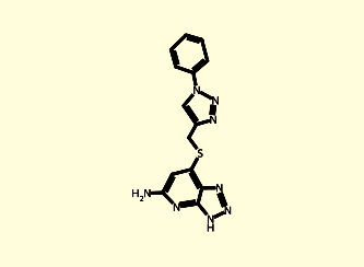 Nc1cc(SCc2cn(-c3ccccc3)nn2)c2nn[nH]c2n1